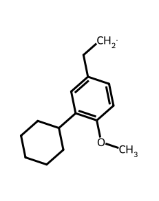 [CH2]Cc1ccc(OC)c(C2CCCCC2)c1